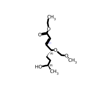 CCOC(=O)/C=C/[C@@H](CC[C@@H](C)O)OCOC